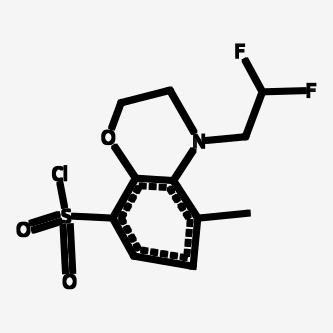 Cc1ccc(S(=O)(=O)Cl)c2c1N(CC(F)F)CCO2